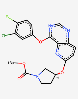 CC(C)(C)OC(=O)N1CC[C@H](Oc2ccc3ncnc(Oc4ccc(F)c(Cl)c4)c3n2)C1